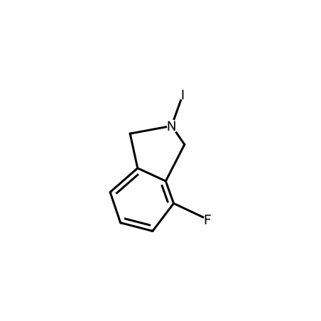 Fc1cccc2c1CN(I)C2